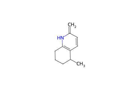 C=C1C=CC2=C(CCCC2C)N1